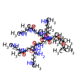 CCC(C)(CC)COC(C)(C)CCOC(C)(C)CCNC(=O)C(CCCCNC(=O)C(CCCCNC(=O)C(C)CCCCNC)NC(=O)C(N)CCCCNC)NC(=O)C(C[C@@H](C)CCNC(=O)C(C)CCCCNC)NC(=O)C(C)CCCCNC